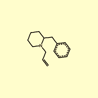 C=CCN1CCCCC1Cc1ccccc1